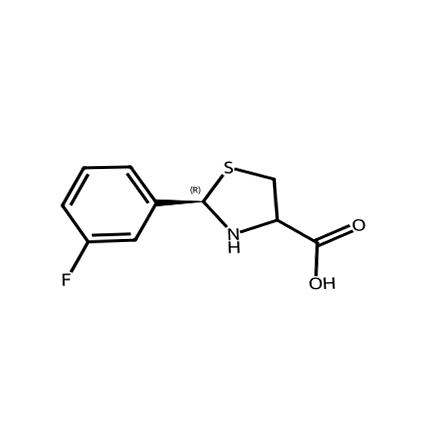 O=C(O)C1CS[C@H](c2cccc(F)c2)N1